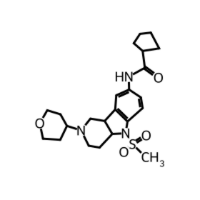 CS(=O)(=O)N1c2ccc(NC(=O)C3CCCC3)cc2C2CN(C3CCOCC3)CCC21